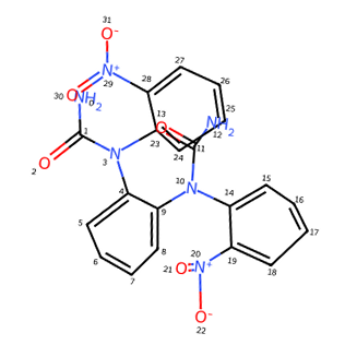 NC(=O)N(c1ccccc1N(C(N)=O)c1ccccc1[N+](=O)[O-])c1ccccc1[N+](=O)[O-]